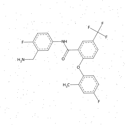 Cc1cc(F)ccc1Oc1ccc(C(F)(F)F)cc1C(=O)Nc1ccc(F)c(CN)c1